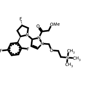 COCC(=O)N1C(N2C[C@@H](F)C[C@@H]2c2cc(F)ccc2F)C=CN1COCC[Si](C)(C)C